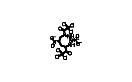 O=C(C1CC([N+](=O)[O-])CN(C(=O)C(Cl)(Cl)Cl)NN([N+](=O)[O-])N1)C(Cl)(Cl)Cl